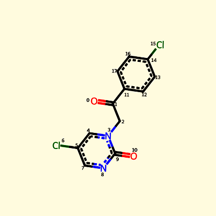 O=C(Cn1cc(Cl)cnc1=O)c1ccc(Cl)cc1